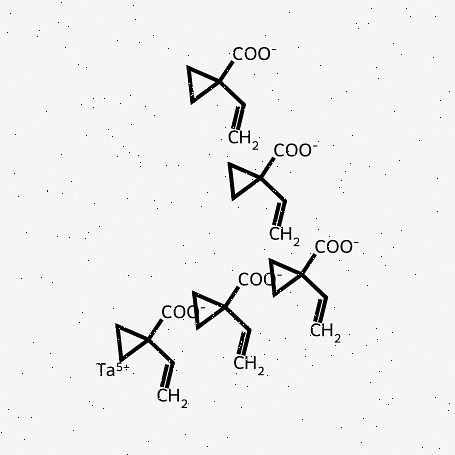 C=CC1(C(=O)[O-])CC1.C=CC1(C(=O)[O-])CC1.C=CC1(C(=O)[O-])CC1.C=CC1(C(=O)[O-])CC1.C=CC1(C(=O)[O-])CC1.[Ta+5]